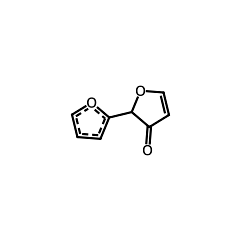 O=C1C=COC1c1ccco1